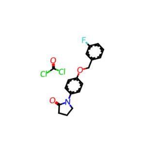 O=C(Cl)Cl.O=C1CCCN1c1ccc(OCc2cccc(F)c2)cc1